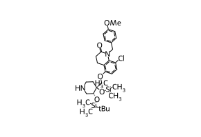 COc1ccc(CN2C(=O)CCc3c(OC[C@]4(O[Si](C)(C)C)CCNC[C@H]4O[Si](C)(C)C(C)(C)C)ccc(Cl)c32)cc1